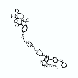 Nc1ncnc2c1c(-c1ccc(Oc3ccccc3)cc1)nn2C1CCN(CCN2CCN(CCSc3ccc4c(c3)C(=O)N(C3CCC(=O)NC3=O)C4=O)CC2)CC1